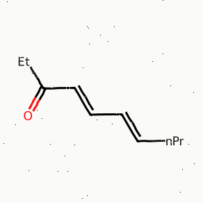 CCC/C=C/C=C/C(=O)CC